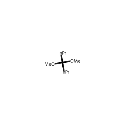 [CH2]CCC(CCC)(OC)OC